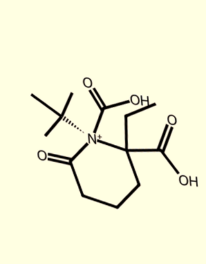 CCC1(C(=O)O)CCCC(=O)[N@+]1(C(=O)O)C(C)(C)C